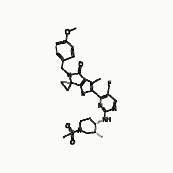 COc1ccc(CN2C(=O)c3c(sc(-c4nc(N[C@H]5CCN(S(C)(=O)=O)C[C@H]5C)ncc4F)c3C)C23CC3)cc1